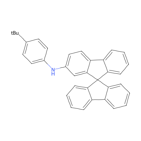 CC(C)(C)c1ccc(Nc2ccc3c(c2)C2(c4ccccc4-c4ccccc42)c2ccccc2-3)cc1